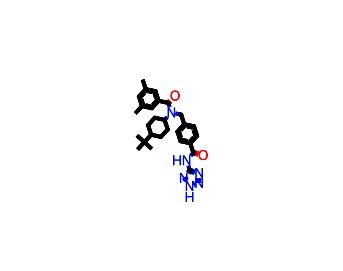 Cc1cc(C)cc(C(=O)N(Cc2ccc(C(=O)Nc3nn[nH]n3)cc2)C2CCC(C(C)(C)C)CC2)c1